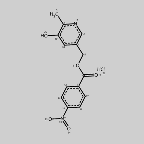 Cc1ncc(COC(=O)c2ccc([N+](=O)[O-])cc2)cc1O.Cl